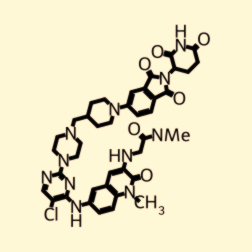 CNC(=O)CNc1cc2cc(Nc3nc(N4CCN(CC5CCN(c6ccc7c(c6)C(=O)N(C6CCC(=O)NC6=O)C7=O)CC5)CC4)ncc3Cl)ccc2n(C)c1=O